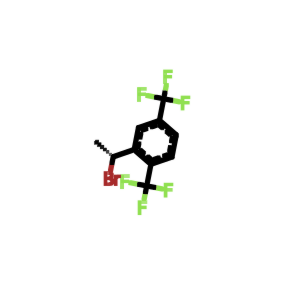 C[C@@H](Br)c1cc(C(F)(F)F)ccc1C(F)(F)F